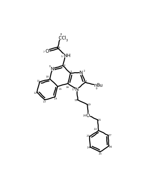 CCCCc1nc2c(NC(=O)C(Cl)(Cl)Cl)nc3ccccc3c2n1CCOCc1ccccc1